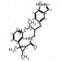 CC1C(C(=O)NCC(Cc2ccc3[nH]ncc3c2)N(C)C)C1(C)c1ccccc1